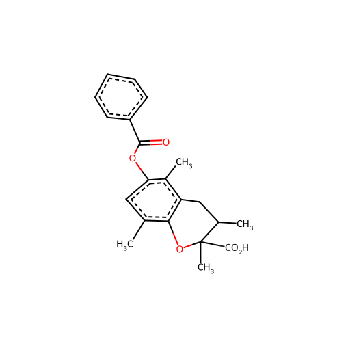 Cc1cc(OC(=O)c2ccccc2)c(C)c2c1OC(C)(C(=O)O)C(C)C2